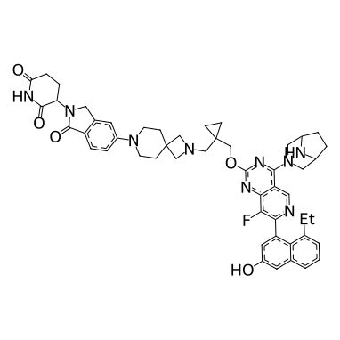 CCc1cccc2cc(O)cc(-c3ncc4c(N5CC6CCC(C5)N6)nc(OCC5(CN6CC7(CCN(c8ccc9c(c8)CN(C8CCC(=O)NC8=O)C9=O)CC7)C6)CC5)nc4c3F)c12